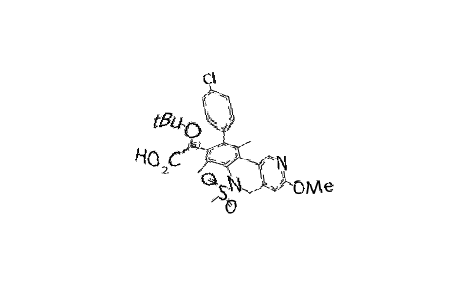 COc1cc2c(cn1)-c1c(C)c(-c3ccc(Cl)cc3)c([C@H](OC(C)(C)C)C(=O)O)c(C)c1N(S(C)(=O)=O)C2